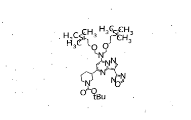 CC(C)(C)OC(=O)N1CCCC(c2cc(N(COCC[Si](C)(C)C)COCC[Si](C)(C)C)n3ncc(-c4ncon4)c3n2)C1